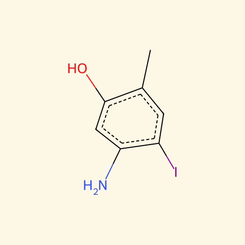 Cc1cc(I)c(N)cc1O